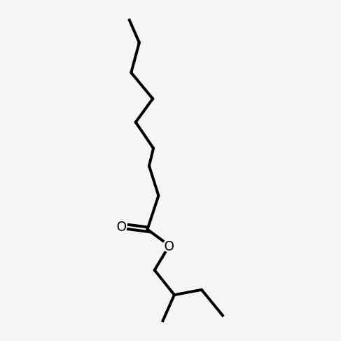 CCCCCCCCC(=O)OCC(C)CC